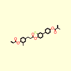 C=CC(=O)Oc1ccc(CCC(=O)Oc2ccc(-c3ccc(OC(=O)C(=C)C)cc3)cc2F)cc1C